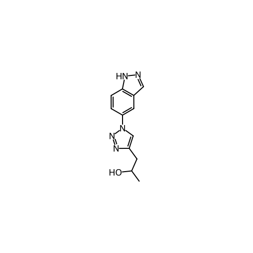 CC(O)Cc1cn(-c2ccc3[nH]ncc3c2)nn1